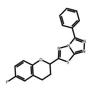 Fc1ccc2c(c1)CCC(c1nn3c(-c4ccccc4)nnc3s1)O2